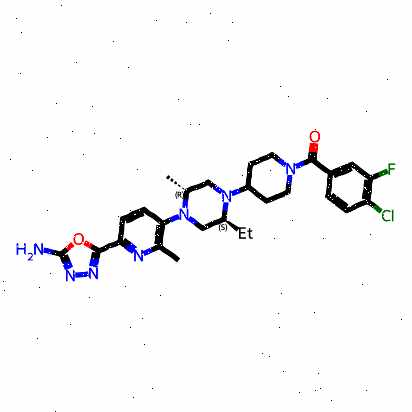 CC[C@H]1CN(c2ccc(-c3nnc(N)o3)nc2C)[C@H](C)CN1C1CCN(C(=O)c2ccc(Cl)c(F)c2)CC1